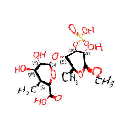 COC1OC(C)[C@H](O[C@@H]2OC(C(=O)O)[C@@H](C)[C@@H](O)[C@@H]2O)[C@@H](OS(=O)(=O)O)[C@@H]1O